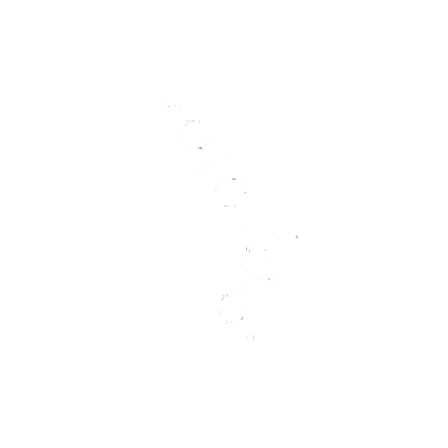 CC(=O)Oc1ccc(S(=O)(=O)c2ccc(CCN(CC(O)c3cccc(Cl)c3)C(=O)OC(C)(C)C)cc2)cc1